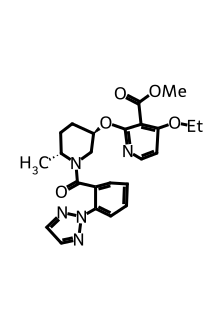 CCOc1ccnc(O[C@@H]2CC[C@@H](C)N(C(=O)c3ccccc3-n3nccn3)C2)c1C(=O)OC